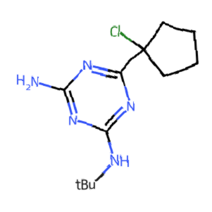 CC(C)(C)Nc1nc(N)nc(C2(Cl)CCCC2)n1